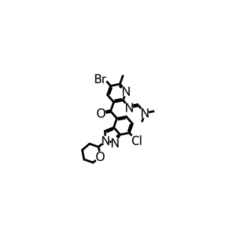 Cc1nc(/N=C/N(C)C)c(C(=O)c2ccc(Cl)c3nn(C4CCCCO4)cc23)cc1Br